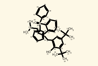 CN(C)CCN(Cc1cc(C(C)(C)C)cc(C(C)(C)C)c1O)c1ccccc1P(=O)(c1ccccc1)c1ccccc1